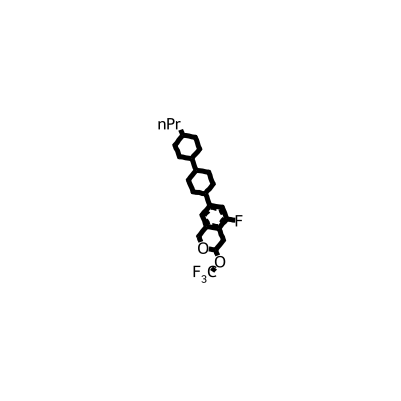 CCCC1CCC(C2CCC(c3cc(F)c4c(c3)COC(OC(F)(F)F)C4)CC2)CC1